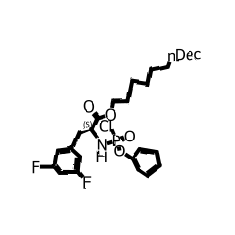 CCCCCCCCCCCCCCCCOC(=O)[C@H](Cc1cc(F)cc(F)c1)NP(=O)(Cl)Oc1ccccc1